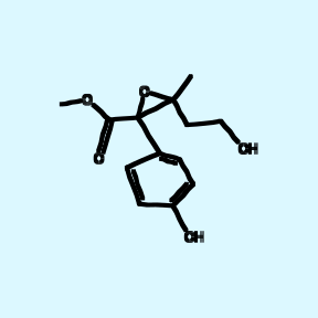 COC(=O)C1(c2ccc(O)cc2)OC1(C)CCO